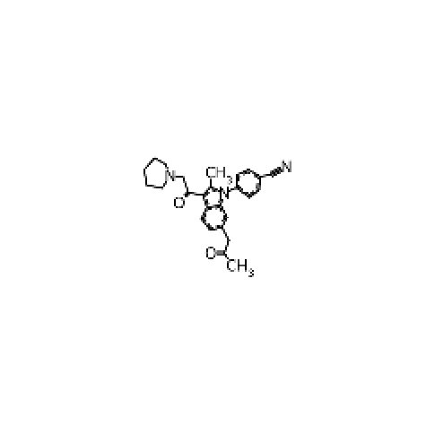 CC(=O)Cc1ccc2c(C(=O)CN3CCCCC3)c(C)n(-c3ccc(C#N)cc3)c2c1